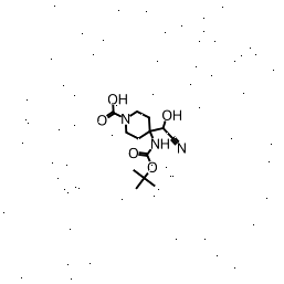 CC(C)(C)OC(=O)NC1(C(O)C#N)CCN(C(=O)O)CC1